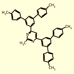 Cc1ccc(-c2cc(-c3ccc(C)cc3)cc(-c3cc(-c4cc(-c5ccc(C)cc5)cc(-c5ccc(C)cc5)c4)nc(C)n3)c2)cc1